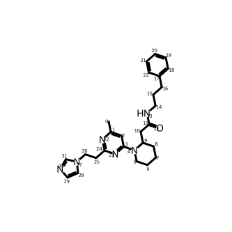 Cc1cc(N2CCCCC2CC(=O)NCCCc2ccccc2)nc(CCn2ccnc2)n1